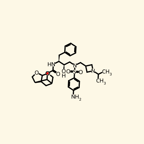 CC(C)N1CC(CN(C[C@@H](O)[C@H](Cc2ccccc2)NC(=O)OC2C3COC4OCC2C4C3)S(=O)(=O)c2ccc(N)cc2)C1